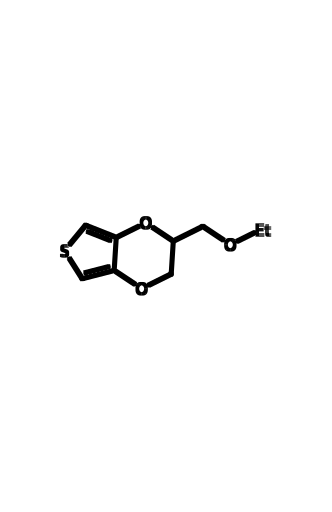 CCOCC1COc2cscc2O1